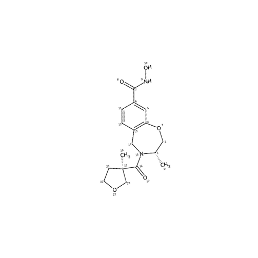 C[C@H]1COc2cc(C(=O)NO)ccc2CN1C(=O)[C@]1(C)CCOC1